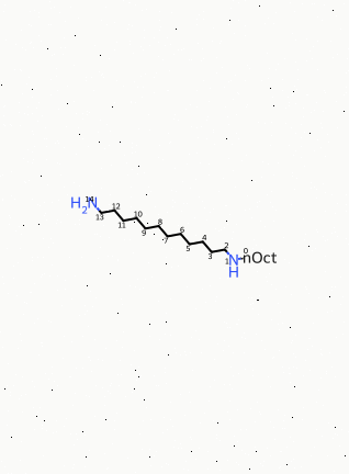 CCCCCCCCNCCCCCCCCCCCCN